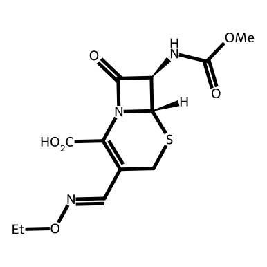 CCON=CC1=C(C(=O)O)N2C(=O)[C@@H](NC(=O)OC)[C@@H]2SC1